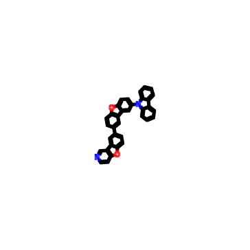 c1ccc2c(c1)c1ccccc1n2-c1ccc2oc3ccc(-c4ccc5oc6ccncc6c5c4)cc3c2c1